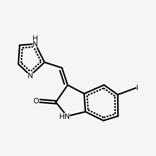 O=C1Nc2ccc(I)cc2C1=Cc1ncc[nH]1